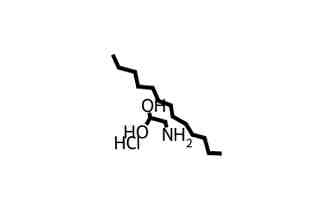 CCCCCCCCCCCCC.Cl.NCC(O)O